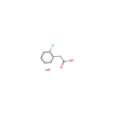 Br.O=C(O)Cc1ccccc1Cl